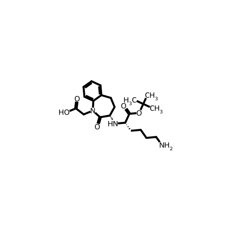 CC(C)(C)OC(=O)[C@H](CCCCN)N[C@H]1CCc2ccccc2N(CC(=O)O)C1=O